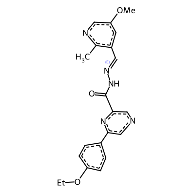 CCOc1ccc(-c2cncc(C(=O)N/N=C/c3cc(OC)cnc3C)n2)cc1